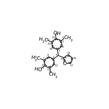 Cc1cc(C(c2cc(C)c(O)c(C)c2)c2ccco2)cc(C)c1O